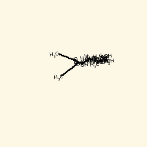 CCCCCCCCCCCCCCCC(=O)OCC(COP(=O)(O)OCCNC(=O)[C@H](C)NC(=O)CC[C@@H](NC(=O)[C@H](C)NC(=O)C(C)O[C@H]1[C@H](O)[C@@H](CO)OC(O)[C@@H]1NC(C)=O)C(N)=O)OC(=O)CCCCCCCCCCCCCCC